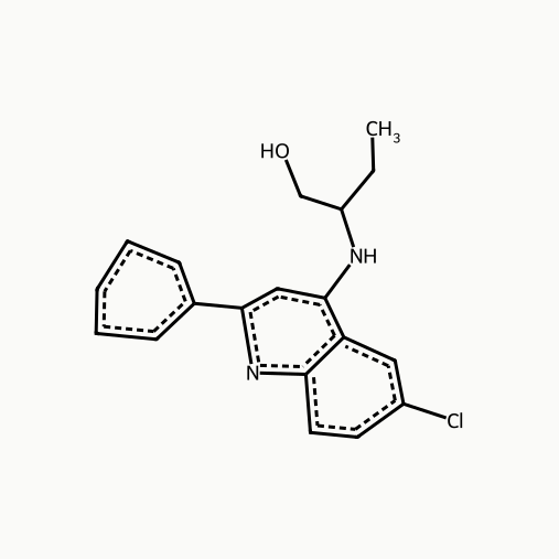 CCC(CO)Nc1cc(-c2ccccc2)nc2ccc(Cl)cc12